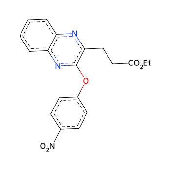 CCOC(=O)CCc1nc2ccccc2nc1Oc1ccc([N+](=O)[O-])cc1